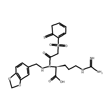 N=C(N)NCCC[C@@H](C(=O)O)N(NCc1ccc2c(c1)OCO2)C(=O)CS(=O)(=O)C1=CC=CCC1=S